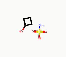 NS(=O)(=O)O.OC1CCC1